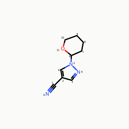 N#Cc1cnn(C2CCCCO2)c1